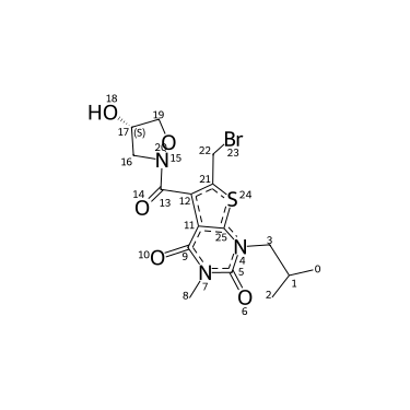 CC(C)Cn1c(=O)n(C)c(=O)c2c(C(=O)N3C[C@H](O)CO3)c(CBr)sc21